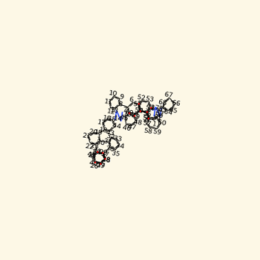 c1ccc(-c2ccc(-c3ccccc3N(c3ccc(-c4cccc(-c5ccccc5)c4-c4ccccc4-c4ccccc4)cc3)c3cccc(-c4cccc5c4c4ccccc4n5-c4ccccc4)c3)cc2)cc1